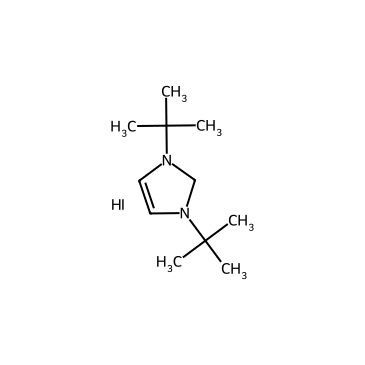 CC(C)(C)N1C=CN(C(C)(C)C)C1.I